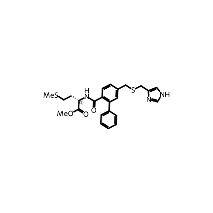 COC(=O)[C@H](CCSC)NC(=O)c1ccc(CSCc2c[nH]cn2)cc1-c1ccccc1